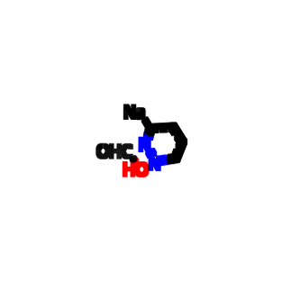 O=CO.[Na][c]1cccnn1